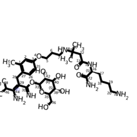 Cc1cc(OCCCNC(C)(C)CC(=O)N[C@@H](CCCCN)C(N)=O)ccc1C/C(C(=N)OC1OC(CO)[C@@H](O)C(O)[C@H]1O)=C(/N)C(C)C